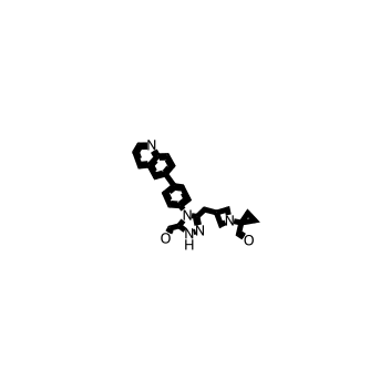 O=CC1NN=C(CC2CN(C3(C=O)CC3)C2)N1c1ccc(-c2ccc3ncccc3c2)cc1